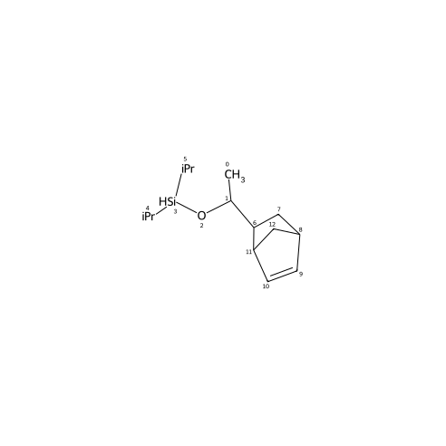 CC(O[SiH](C(C)C)C(C)C)C1CC2C=CC1C2